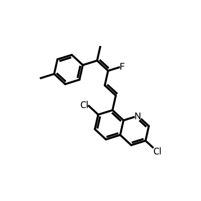 CC(=C(F)C=Cc1c(Cl)ccc2cc(Cl)cnc12)c1ccc(C)cc1